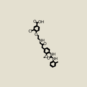 COc1cc(CC(=O)CNCCOc2ccc(C(=O)O)cc2Cl)ccc1NC(=O)Nc1ccccc1C